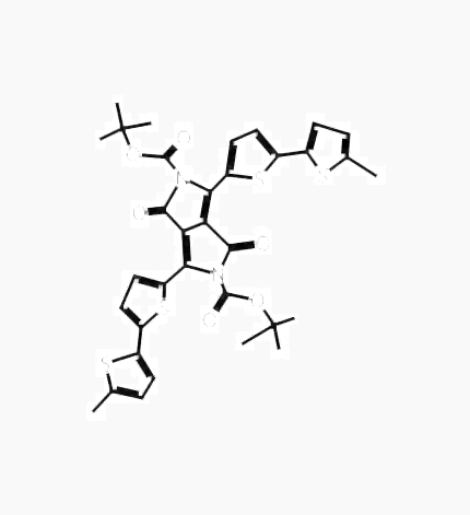 Cc1ccc(-c2ccc(C3=C4C(=O)N(C(=O)OC(C)(C)C)C(c5ccc(-c6ccc(C)s6)s5)=C4C(=O)N3C(=O)OC(C)(C)C)s2)s1